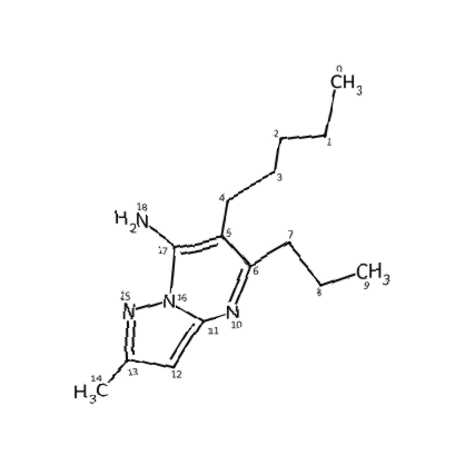 CCCCCc1c(CCC)nc2cc(C)nn2c1N